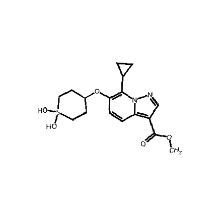 COC(=O)c1cnn2c(C3CC3)c(OC3CCS(O)(O)CC3)ccc12